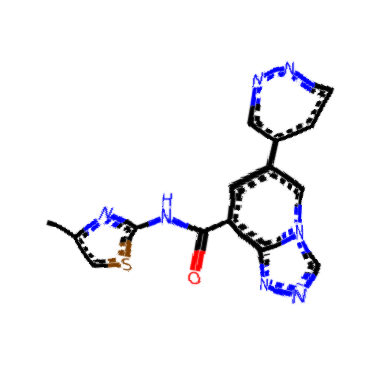 Cc1csc(NC(=O)c2cc(-c3ccnnc3)cn3cnnc23)n1